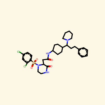 O=C(CC1C(=O)NCCN1S(=O)(=O)c1ccc(Cl)cc1Cl)NC1CCC(C(CCc2ccccc2)N2CCCCC2)CC1